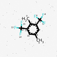 [CH2]c1c(C(F)(F)F)cc(C)cc1C(F)(F)F